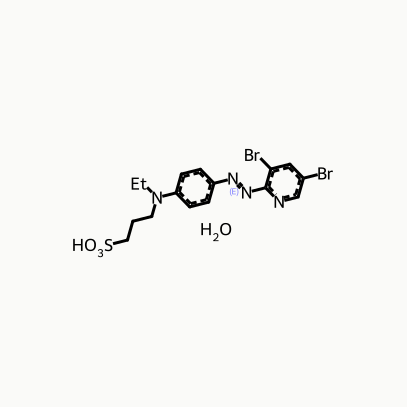 CCN(CCCS(=O)(=O)O)c1ccc(/N=N/c2ncc(Br)cc2Br)cc1.O